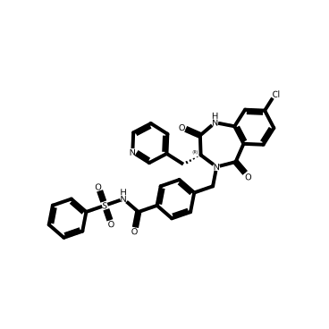 O=C(NS(=O)(=O)c1ccccc1)c1ccc(CN2C(=O)c3ccc(Cl)cc3NC(=O)[C@H]2Cc2cccnc2)cc1